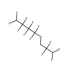 FC(F)C(F)(F)COC(F)(F)C(F)(F)C(F)(F)C(F)F